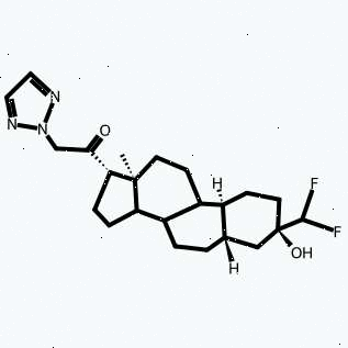 C[C@]12CCC3C(CC[C@H]4C[C@@](O)(C(F)F)CC[C@H]34)C1CC[C@@H]2C(=O)Cn1nccn1